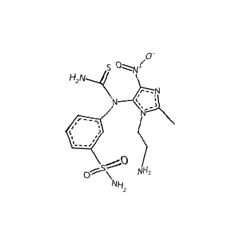 Cc1nc([N+](=O)[O-])c(N(C(N)=S)c2cccc(S(N)(=O)=O)c2)n1CCN